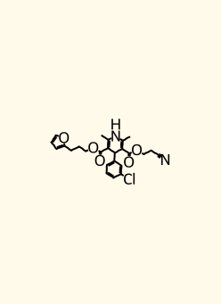 CC1=C(C(=O)OCCC#N)C(c2cccc(Cl)c2)C(C(=O)OCCCc2ccco2)=C(C)N1